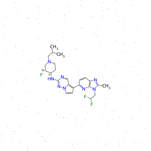 Cc1nc2ccc(-c3ccn4nc(N[C@H]5CCN(CC(C)C)C[C@H]5F)ncc34)nc2n1CC(F)F